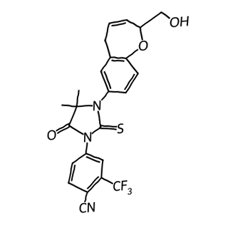 CC1(C)C(=O)N(c2ccc(C#N)c(C(F)(F)F)c2)C(=S)N1c1ccc2c(c1)CC=CC(CO)O2